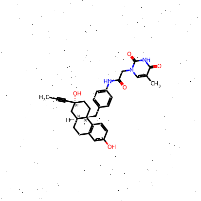 CC#C[C@@]1(O)CC[C@]2(Cc3ccc(NC(=O)Cn4cc(C)c(=O)[nH]c4=O)cc3)c3ccc(O)cc3CC[C@H]2C1